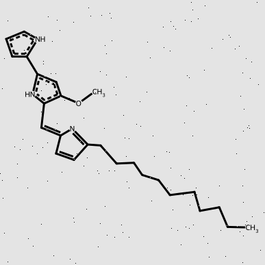 CCCCCCCCCCCC1=NC(=Cc2[nH]c(-c3ccc[nH]3)cc2OC)C=C1